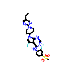 CCc1cnc(N2CCC(n3cc(F)c4c(Nc5ccc(S(C)(=O)=O)cc5F)ncnc43)CC2)nc1